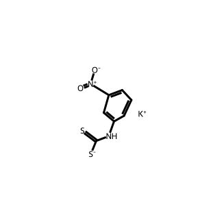 O=[N+]([O-])c1cccc(NC(=S)[S-])c1.[K+]